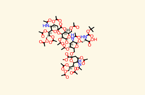 COC(=O)[C@@]1(OCC2O[C@H](OC[C@H](NC(=O)OC(C)(C)C)C(=O)O)C(NC(C)=O)[C@@H](O[C@@H]3OC(COC(C)=O)[C@@H]4OC(=O)[C@]5(C[C@@H](OC(C)=O)[C@@H](NC(C)=O)C([C@H](OC(C)=O)[C@@H](COC(C)=O)OC(C)=O)O5)OC4[C@@H]3OC(C)=O)[C@H]2OC(C)=O)C[C@@H](OC(C)=O)[C@@H](NC(C)=O)C([C@H](OC(C)=O)[C@@H](COC(C)=O)OC(C)=O)O1